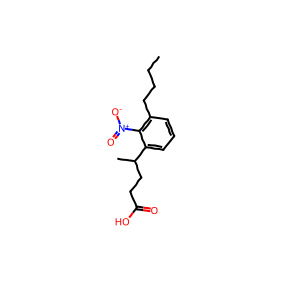 CCCCc1cccc(C(C)CCC(=O)O)c1[N+](=O)[O-]